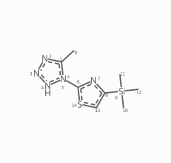 Cc1nn[nH][n+]1-c1nc([Si](C)(C)C)cs1